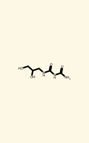 NC(=O)NC(=O)NCC(O)CO